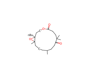 CCCCC12CCOC(=O)CCC(C)(C)C(=O)CCC(C)CCCC1(C)O2